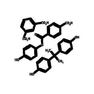 CC(C)(c1ccc(O)cc1)c1ccc(O)cc1.O=C(O)c1ccc(C(=O)Oc2ccc(O)cc2)cc1.O=C(O)c1cccc(C(=O)O)c1